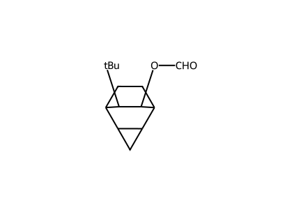 CC(C)(C)C1C2CCC(C3CC32)C1OC=O